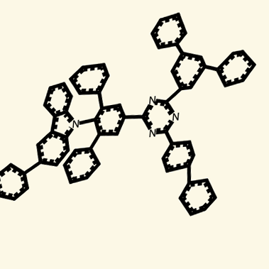 c1ccc(-c2ccc(-c3nc(-c4cc(-c5ccccc5)cc(-c5ccccc5)c4)nc(-c4cc(-c5ccccc5)c(-n5c6ccccc6c6cc(-c7ccccc7)ccc65)c(-c5ccccc5)c4)n3)cc2)cc1